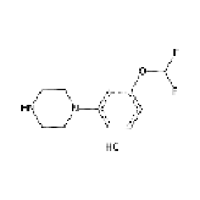 Cl.FC(F)Oc1cccc(N2CCNCC2)c1